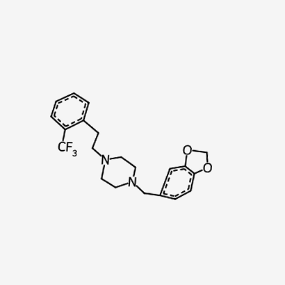 FC(F)(F)c1ccccc1CCN1CCN(Cc2ccc3c(c2)OCO3)CC1